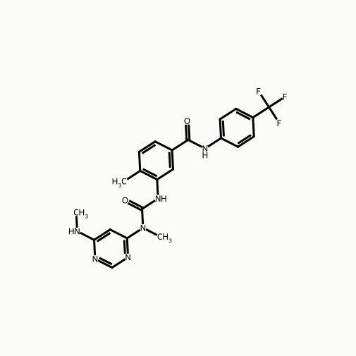 CNc1cc(N(C)C(=O)Nc2cc(C(=O)Nc3ccc(C(F)(F)F)cc3)ccc2C)ncn1